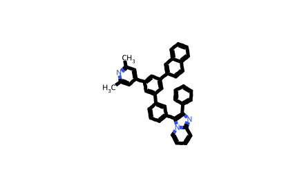 Cc1cc(-c2cc(-c3cccc(-c4c(-c5ccccc5)nc5ccccn45)c3)cc(-c3ccc4ccccc4c3)c2)cc(C)n1